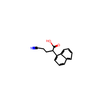 N#CCCC(C(=O)O)c1cccc2ccccc12